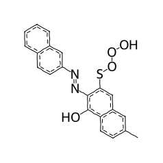 Cc1ccc2c(O)c(N=Nc3ccc4ccccc4c3)c(SOOO)cc2c1